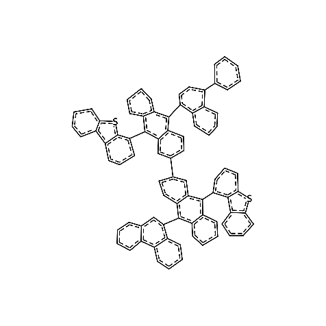 c1ccc(-c2ccc(-c3c4ccccc4c(-c4cccc5c4sc4ccccc45)c4cc(-c5ccc6c(-c7cc8ccccc8c8ccccc78)c7ccccc7c(-c7cccc8sc9ccccc9c78)c6c5)ccc34)c3ccccc23)cc1